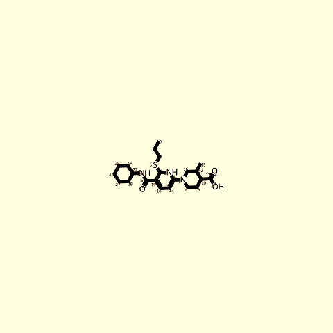 CCCSC1NC(N2CCC(C(=O)O)C(C)C2)=CC=C1C(=O)NC1CCCCC1